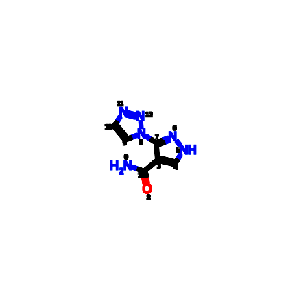 NC(=O)c1c[nH]nc1-n1ccnn1